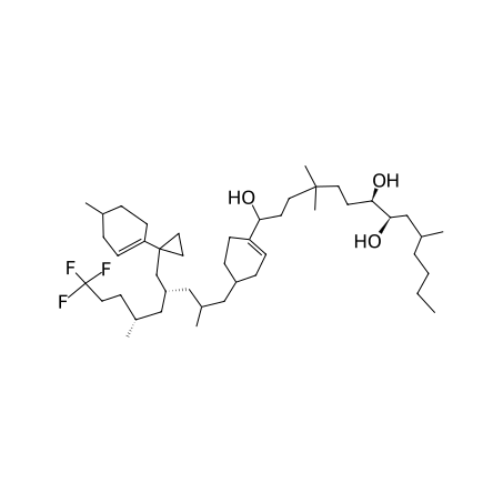 CCCCC(C)C[C@@H](O)[C@H](O)CCC(C)(C)CCC(O)C1=CCC(CC(C)C[C@H](C[C@H](C)CCC(F)(F)F)CC2(C3=CCC(C)CC3)CC2)CC1